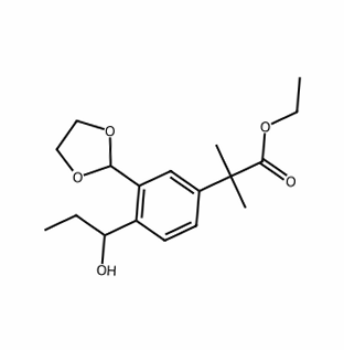 CCOC(=O)C(C)(C)c1ccc(C(O)CC)c(C2OCCO2)c1